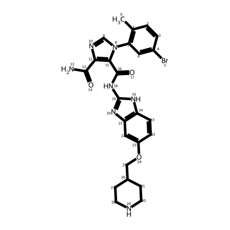 Cc1ccc(Br)cc1-n1cnc(C(N)=O)c1C(=O)Nc1nc2cc(OCC3CCNCC3)ccc2[nH]1